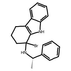 C[C@H](NC1(Br)CCCc2c1[nH]c1ccccc21)c1ccccc1